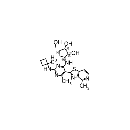 Cc1nc(NC2(C)CCC2)nc(N[C@@H]2C[C@H](CO)[C@@H](O)[C@H]2O)c1-c1nc2c(C)nccc2s1